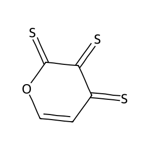 S=C1C=COC(=S)C1=S